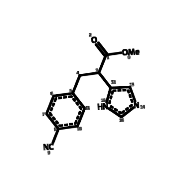 COC(=O)C(Cc1ccc(C#N)cc1)c1cnc[nH]1